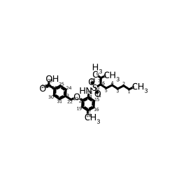 CCCCCCC(C(C)C)S(=O)(=O)Nc1ccc(C)cc1OCc1ccc(C(=O)O)cc1